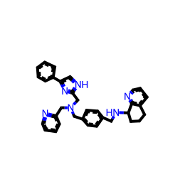 c1ccc(-c2c[nH]c(CN(Cc3ccc(CNC4CCCc5cccnc54)cc3)Cc3ccccn3)n2)cc1